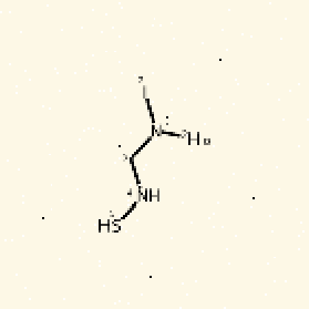 [2H]N(I)CNS